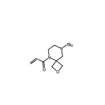 C=CC(=O)N1CCN(C(C)(C)C)CC12COC2